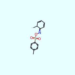 [CH2]C1C=CC=C/C1=N/OS(=O)(=O)c1ccc(C)cc1